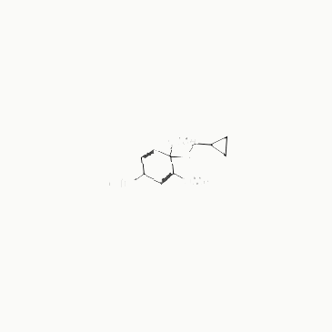 COC1=CC(C=O)C=CC1(OC)OCC1CC1